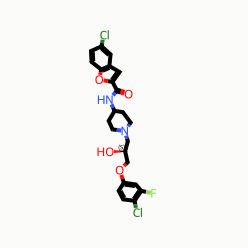 O=C(NC1CCN(C[C@H](O)COc2ccc(Cl)c(F)c2)CC1)c1cc2cc(Cl)ccc2o1